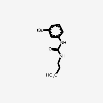 CC(C)(C)c1cccc(NC(=O)NCCC(=O)O)c1